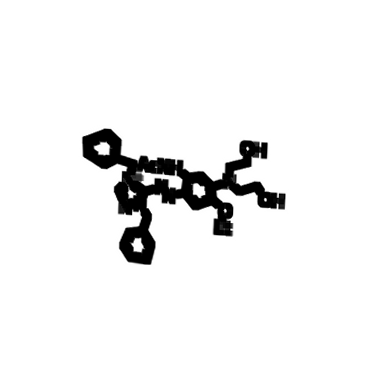 CCOc1cc(/N=N/c2n(Cc3ccccc3)nc[n+]2Cc2ccccc2)c(NC(C)=O)cc1N(CCO)CCO